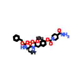 CC(C)C[C@H](NC(=O)OCc1ccccc1)C(=O)NC(Cc1ccc(OC(=O)N2CCC(C(N)=O)CC2)cc1)C(=O)OC(C)(C)C